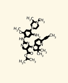 CC#Cc1ccc2c(n1)C(C)(C)CN2c1nc(Nc2cc(N)c(N3CCN(C)C(C)C3)cc2OC)ncc1C(=O)OC(C)C